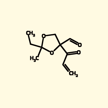 C=CC(=O)C1(C=O)COC(C)(CC)O1